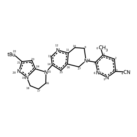 Cc1cc(C#N)nnc1N1CCc2ncc(N3CCCn4nc(C(C)(C)C)cc43)cc2C1